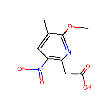 COc1nc(CC(=O)O)c([N+](=O)[O-])cc1C